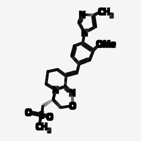 COc1cc(/C=C2\CCCN3C2=NOC[C@@H]3CS(C)(=O)=O)ccc1-n1cnc(C)c1